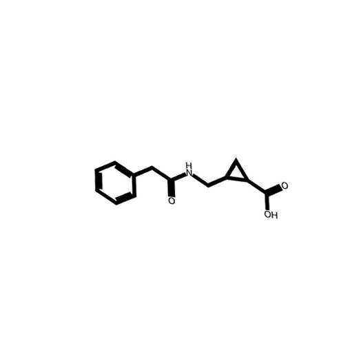 O=C(Cc1ccccc1)NCC1CC1C(=O)O